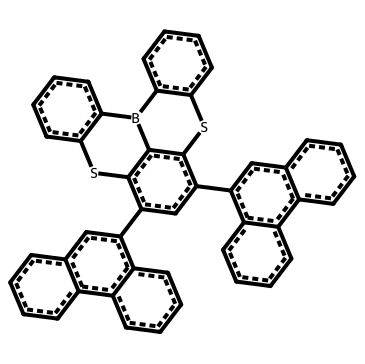 c1ccc2c(c1)Sc1c(-c3cc4ccccc4c4ccccc34)cc(-c3cc4ccccc4c4ccccc34)c3c1B2c1ccccc1S3